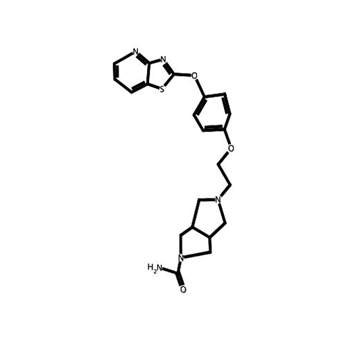 NC(=O)N1CC2CN(CCOc3ccc(Oc4nc5ncccc5s4)cc3)CC2C1